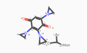 CCCCCCCCCC(C(C)=O)C(=O)O.O=C1C=C(N2CC2)C(=O)C(N2CC2)=C1N1CC1